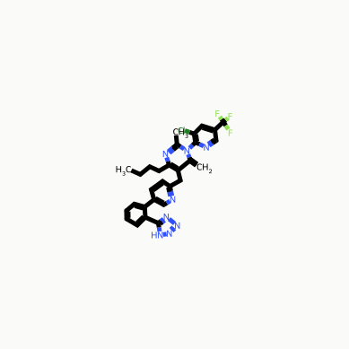 C=C1C(Cc2ccc(-c3ccccc3-c3nnn[nH]3)cn2)=C(CCCC)N=C(C)N1c1ncc(C(F)(F)F)cc1Cl